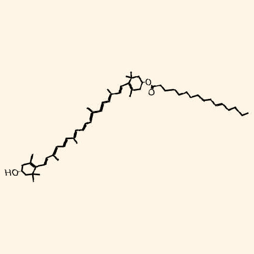 CCCCCCCCCCCCCCCC(=O)O[C@@H]1CC(C)=C(/C=C/C(C)=C/C=C/C(C)=C/C=C/C=C(C)/C=C/C=C(C)/C=C/C2=C(C)C[C@@H](O)CC2(C)C)C(C)(C)C1